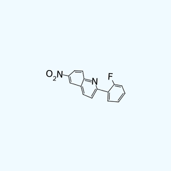 O=[N+]([O-])c1ccc2nc(-c3ccccc3F)ccc2c1